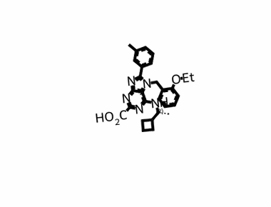 CCOc1ccccc1Cn1c(-c2cccc(C)c2)nc2nc(C(=O)O)nc(N[C@H](C)C3CCC3)c21